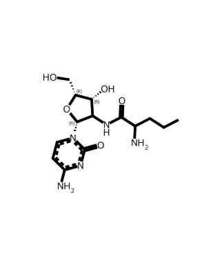 CCCC(N)C(=O)NC1[C@@H](O)[C@@H](CO)O[C@H]1n1ccc(N)nc1=O